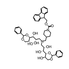 O=C(OCC1c2ccccc2-c2ccccc21)N1CCC(CN(C[C@H](O)[C@@H](O)[C@@H]2OC(c3ccccc3)OC[C@H]2O)C[C@H](O)[C@@H](O)[C@@H]2OC(c3ccccc3)OC[C@H]2O)CC1